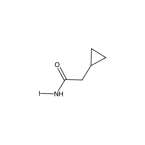 O=C(CC1CC1)NI